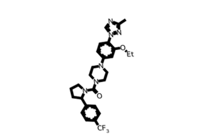 CCOc1cc(N2CCN(C(=O)N3CCCC3c3ccc(C(F)(F)F)cc3)CC2)ccc1-n1cnc(C)n1